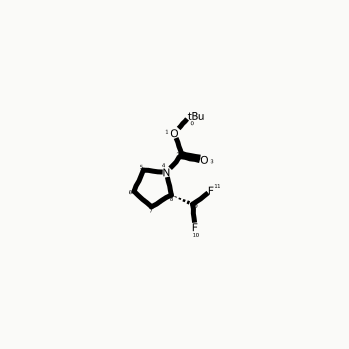 CC(C)(C)OC(=O)N1CCC[C@H]1C(F)F